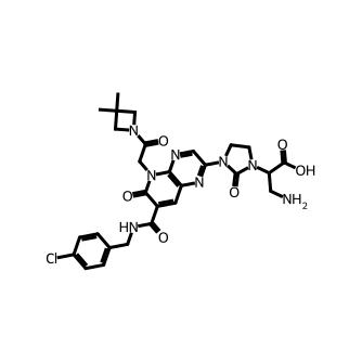 CC1(C)CN(C(=O)Cn2c(=O)c(C(=O)NCc3ccc(Cl)cc3)cc3nc(N4CCN(C(CN)C(=O)O)C4=O)cnc32)C1